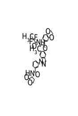 CC(NC(=O)C(C)(F)F)C(Oc1ccc2c(cnn2-c2cccc(C(=O)NC3CCOC3=O)c2)c1)c1ccc2c(c1)OCCO2